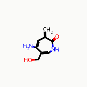 C=C1C=C(N)C(CO)=CNC1=O